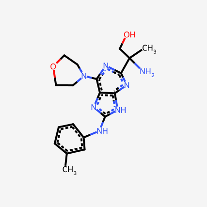 Cc1cccc(Nc2nc3c(N4CCOCC4)nc(C(C)(N)CO)nc3[nH]2)c1